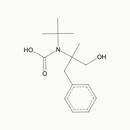 CC(C)(C)N(C(=O)O)C(C)(CO)Cc1ccccc1